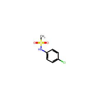 CS(=O)(=O)Nc1[c]cc(Cl)cc1